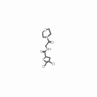 O=C(NCC(=O)N1CCOCC1)C1CC(Cl)=C(Cl)S1